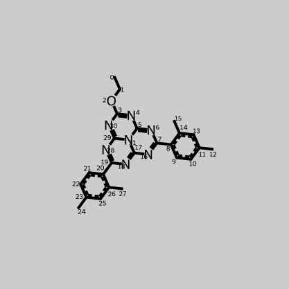 CCOC1=NC2=NC(c3ccc(C)cc3C)=NC3=NC(c4ccc(C)cc4C)=NC(=N1)N23